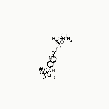 CC(C)(C)OC(=O)OCCOc1ncc2cc(NC(C)(C)C(=O)O)ccc2n1